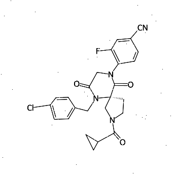 N#Cc1ccc(N2CC(=O)N(Cc3ccc(Cl)cc3)[C@@]3(CCN(C(=O)C4CC4)C3)C2=O)c(F)c1